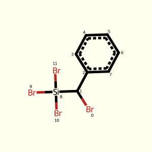 BrC(c1ccccc1)[Si](Br)(Br)Br